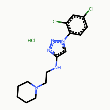 Cl.Clc1ccc(-n2cc(NCCN3CCCCC3)nn2)c(Cl)c1